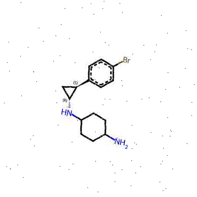 NC1CCC(N[C@@H]2C[C@H]2c2ccc(Br)cc2)CC1